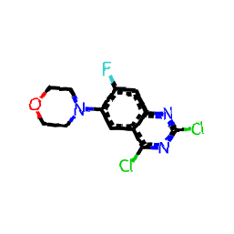 Fc1cc2nc(Cl)nc(Cl)c2cc1N1CCOCC1